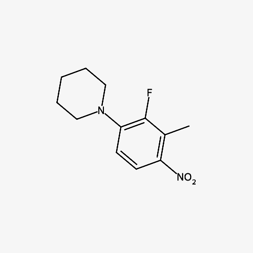 Cc1c([N+](=O)[O-])ccc(N2CCCCC2)c1F